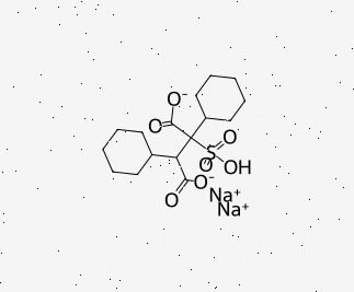 O=C([O-])C(C1CCCCC1)C(C(=O)[O-])(C1CCCCC1)S(=O)(=O)O.[Na+].[Na+]